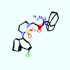 NC(=O)C12CC3CC(C1)C(NC(=O)CN1CCCN(c4ccc(Cl)c5ccccc45)S1(=O)=O)C(C3)C2